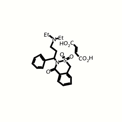 CCN(CC)CCC(c1ccccc1)N1C(=O)c2ccccc2CS1(=O)=O.O=C(O)C=CC(=O)O